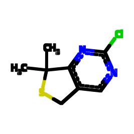 CC1(C)SCc2cnc(Cl)nc21